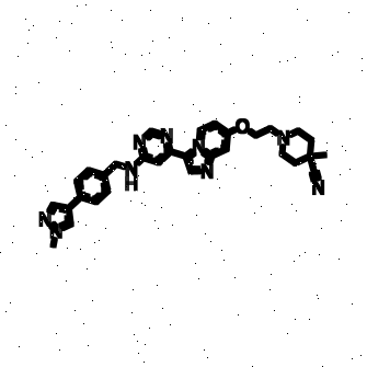 Cn1cc(-c2ccc(CNc3cc(-c4cnc5cc(OCCN6CCC(C)(C#N)CC6)ccn45)ncn3)cc2)cn1